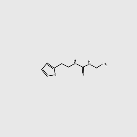 CCNC(=S)NCCc1cccs1